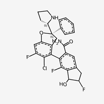 NC(=O)c1cc2c(c(F)c1-c1c(Cl)c(F)cc3c1C[C@](c1ccccc1)([C@@H]1CCCN1)O3)C(O)C(F)C2